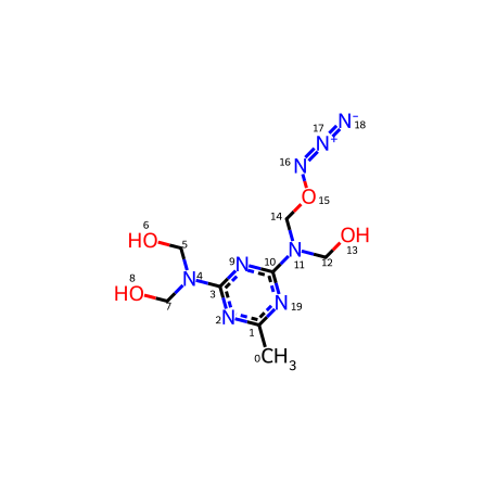 Cc1nc(N(CO)CO)nc(N(CO)CON=[N+]=[N-])n1